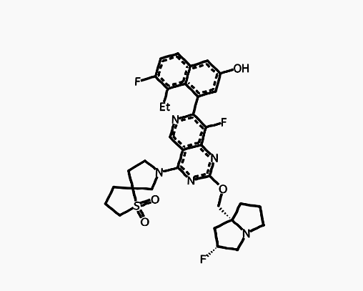 CCc1c(F)ccc2cc(O)cc(-c3ncc4c(N5CCC6(CCCS6(=O)=O)C5)nc(OC[C@]56CCCN5C[C@H](F)C6)nc4c3F)c12